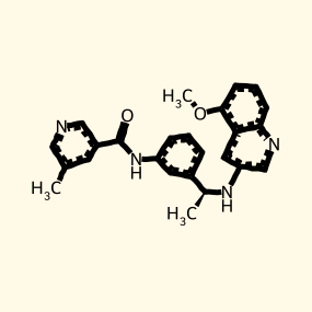 COc1cccc2ncc(N[C@@H](C)c3cccc(NC(=O)c4cncc(C)c4)c3)cc12